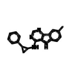 Cc1ccc2[nH]c3c(NC4CC4c4ccccc4)ncnc3c2c1